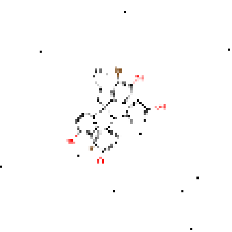 CCCCC(c1ccc(O)c(Br)c1)(c1ccc(O)c(Br)c1)C(c1ccc(O)cc1)c1ccc(O)cc1